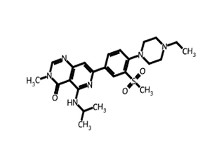 CCN1CCN(c2ccc(-c3cc4ncn(C)c(=O)c4c(NC(C)C)n3)cc2S(C)(=O)=O)CC1